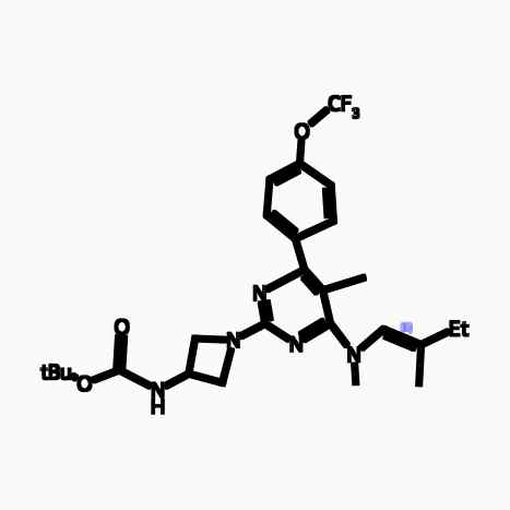 CC/C(C)=C/N(C)c1nc(N2CC(NC(=O)OC(C)(C)C)C2)nc(-c2ccc(OC(F)(F)F)cc2)c1C